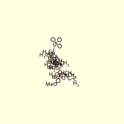 C=C/C=C\[C@H](C)[C@H](OCc1ccc(OC)cc1)[C@@H](C)[C@@H](CC[C@H](C)C[C@H](C)[C@@H](O[Si](C)(C)C(C)(C)C)[C@@H](C)/C=C\[C@H](C[C@H](O[Si](C)(C)C(C)(C)C)[C@H](C)/C=C/COC(c1ccccc1)(c1ccccc1)c1ccccc1)O[Si](C)(C)C(C)(C)C)O[Si](C)(C)C(C)(C)C